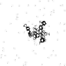 COc1ccc(CC2(S(=O)(=O)Nc3nn(CC(F)F)c4c(-n5c([C@H](Cc6cc(F)cc(F)c6)NC(=O)O)nc6nc(-c7ccccc7F)ccc6c5=O)ccc(Cl)c34)CC2)cc1